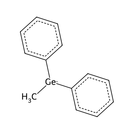 [CH3][Ge]([c]1ccccc1)[c]1ccccc1